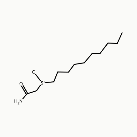 CCCCCCCCCC[S+]([O-])CC(N)=O